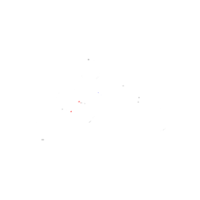 CCc1ccccc1-c1ccc(-c2ccccc2N(c2ccccc2)C2C=CC(C)=C(c3ccccc3)C=C2)cc1